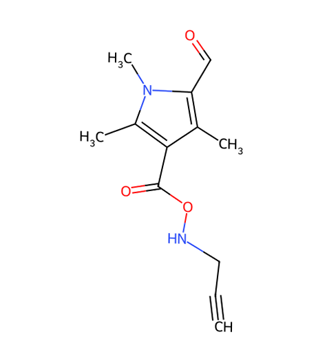 C#CCNOC(=O)c1c(C)c(C=O)n(C)c1C